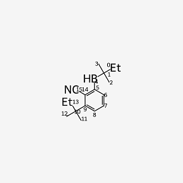 CCC(C)(C)Bc1cccc(C(C)(C)CC)c1C#N